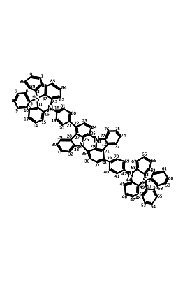 c1ccc(S2(c3ccccc3)c3ccccc3N(c3ccc(-c4ccc5c6c4c4ccccc4n6c4ccc(-c6ccc(N7c8ccccc8S(c8ccccc8)(c8ccccc8)c8ccccc87)cc6)c6c7ccccc7n5c64)cc3)c3ccccc32)cc1